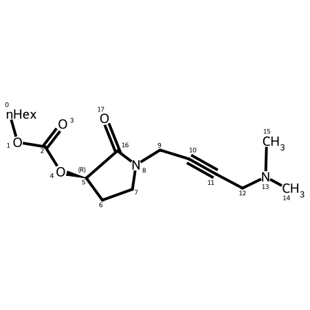 CCCCCCOC(=O)O[C@@H]1CCN(CC#CCN(C)C)C1=O